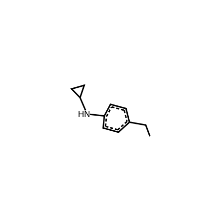 CCc1ccc(NC2CC2)cc1